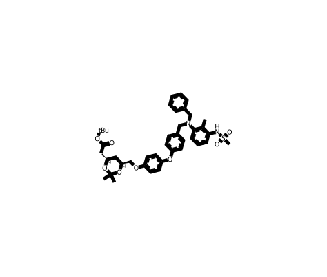 Cc1c(NS(C)(=O)=O)cccc1N(Cc1ccccc1)Cc1ccc(Oc2ccc(OC[C@@H]3C[C@@H](CC(=O)OC(C)(C)C)OC(C)(C)O3)cc2)cc1